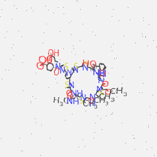 CNC(=O)C[C@@H]1NC(=O)c2csc(n2)-c2ccc(-c3nc(N(CCCC(=O)O)C(=O)[C@H]4CC[C@H](C(=O)O)CC4)cs3)nc2-c2csc(n2)-c2csc(n2)[C@H]([C@@H](O)c2ccccc2)NC(=O)CNC(=O)c2nc(sc2COC)C(C(C)C)NC(=O)c2nc1sc2C